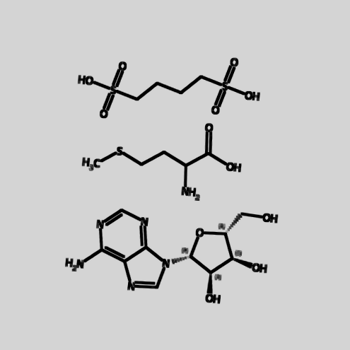 CSCCC(N)C(=O)O.Nc1ncnc2c1ncn2[C@@H]1O[C@H](CO)[C@@H](O)[C@H]1O.O=S(=O)(O)CCCCS(=O)(=O)O